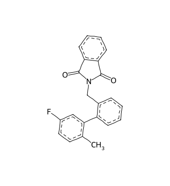 Cc1ccc(F)cc1-c1ccccc1CN1C(=O)c2ccccc2C1=O